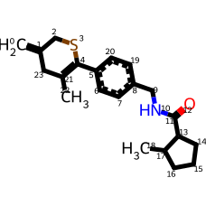 C=C1CSC(c2ccc(CNC(=O)C3CCCC3C)cc2)=C(C)C1